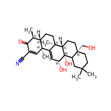 C[C@@H]1C(=O)C(C#N)=C[C@]2(C)C3=C[C@@H](O)[C@]4(O)C5CC(C)(C)CC[C@]5(CO)CC[C@H]4[C@]3(C)CC[C@@H]12